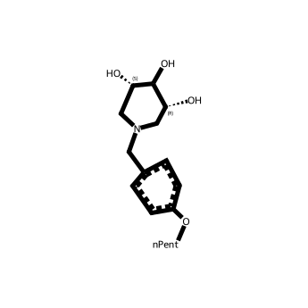 CCCCCOc1ccc(CN2C[C@@H](O)C(O)[C@@H](O)C2)cc1